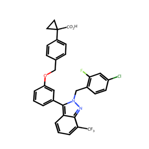 O=C(O)C1(c2ccc(COc3cccc(-c4c5cccc(C(F)(F)F)c5nn4Cc4ccc(Cl)cc4F)c3)cc2)CC1